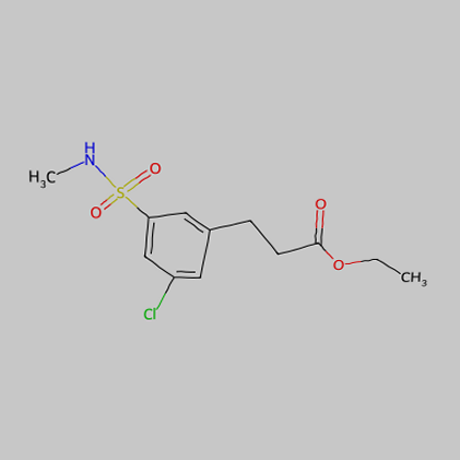 CCOC(=O)CCc1cc(Cl)cc(S(=O)(=O)NC)c1